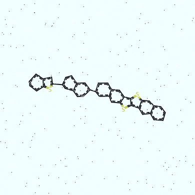 c1ccc2cc3c(cc2c1)sc1c2cc4ccc(-c5ccc6cc(-c7cc8ccccc8s7)ccc6c5)cc4cc2sc31